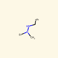 CCCCNN(C)CC